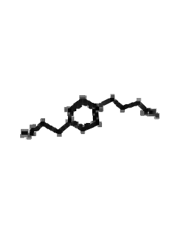 CCCC[n+]1ccc(CCC)cc1